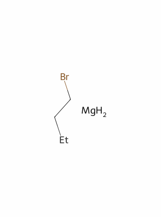 CCCCBr.[MgH2]